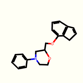 C1=Cc2cccc(OCC3CN(c4ccccc4)CCO3)c2C1